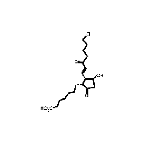 O=C(O)CCCCCC[C@H]1C(=O)C[C@H](O)[C@@H]1C=CC(=O)CCCCCl